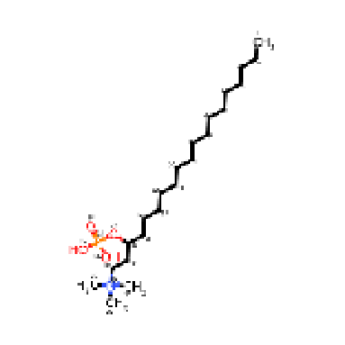 CCCCCCCCCCCCCCCCC(CC[N+](C)(C)C)OP(=O)(O)O